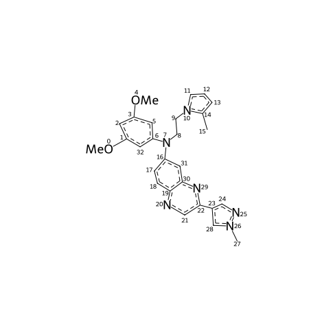 COc1cc(OC)cc(N(CCn2cccc2C)c2ccc3ncc(-c4cnn(C)c4)nc3c2)c1